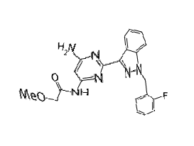 COCC(=O)Nc1cc(N)nc(-c2nn(Cc3ccccc3F)c3ccccc23)n1